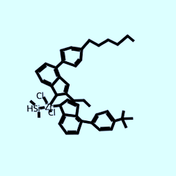 CCCCCCc1ccc(-c2cccc3c2C=C(CCC)[CH]3[Zr]([Cl])([Cl])([CH]2C=Cc3c(-c4ccc(C(C)(C)C)cc4)cccc32)[SiH](C)C)cc1